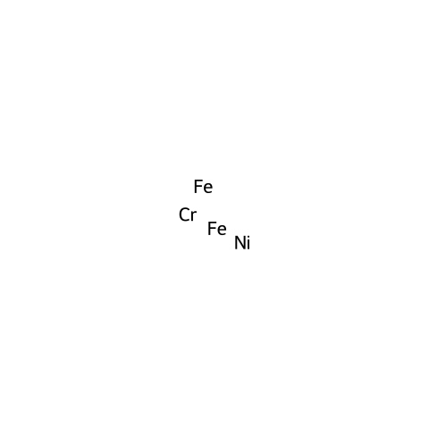 [Cr].[Fe].[Fe].[Ni]